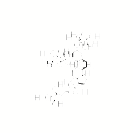 CN(C)C(=O)CCOC(C)(C)C1=CC[C@H]2C3=CC=C4C[C@@H](O[Si](C)(C)C(C)(C)C)C[C@H](O[Si](C)(C)C(C)(C)C)[C@]4(C)[C@H]3CC[C@]12C